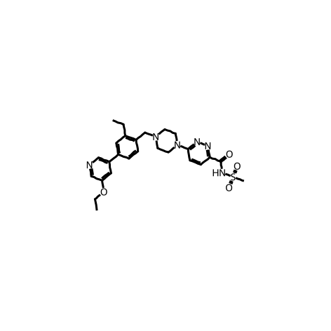 CCOc1cncc(-c2ccc(CN3CCN(c4ccc(C(=O)NS(C)(=O)=O)nn4)CC3)c(CC)c2)c1